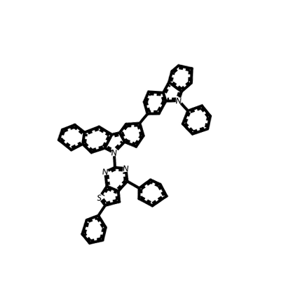 c1ccc(-c2cc3c(-c4ccccc4)nc(-n4c5ccc(-c6ccc7c8ccccc8n(-c8ccccc8)c7c6)cc5c5cc6ccccc6cc54)nc3s2)cc1